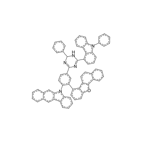 c1ccc(C2N=C(c3ccc(-n4c5ccccc5c5cc6ccccc6cc54)c(-c4cccc5oc6c7ccccc7ccc6c45)c3)N=C(c3cccc4c3c3ccccc3n4-c3ccccc3)N2)cc1